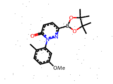 COc1ccc(C)c(-n2nc(B3OC(C)(C)C(C)(C)O3)ccc2=O)c1